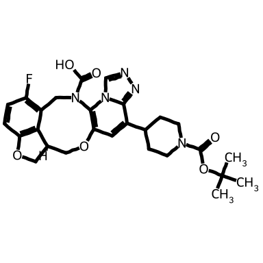 CC(C)(C)OC(=O)N1CCC(c2cc3c(n4cnnc24)N(C(=O)O)Cc2c(F)ccc4c2[C@@H](CO4)CO3)CC1